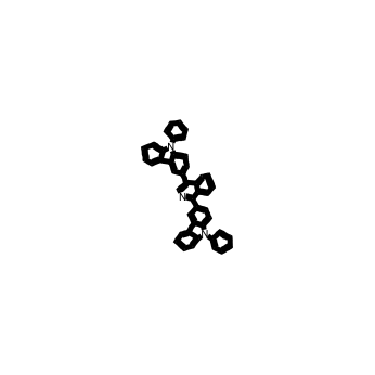 c1ccc(-n2c3ccccc3c3cc(-c4cnc(-c5ccc6c(c5)c5ccccc5n6-c5ccccc5)c5ccccc45)ccc32)cc1